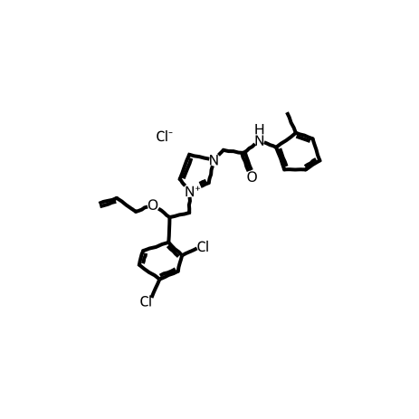 C=CCOC(C[n+]1ccn(CC(=O)Nc2ccccc2C)c1)c1ccc(Cl)cc1Cl.[Cl-]